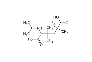 CC(C)NC(C(=O)S)C(C)(C)CC(C)(C)C(=O)O